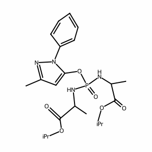 Cc1cc(OP(=O)(NC(C)C(=O)OC(C)C)NC(C)C(=O)OC(C)C)n(-c2ccccc2)n1